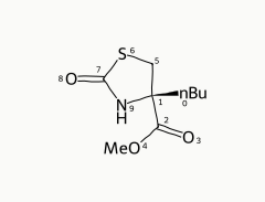 CCCC[C@]1(C(=O)OC)CSC(=O)N1